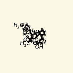 CCOC(=O)c1c(C)[nH]c(C=C2C(=O)Nc3cccc(-c4cncc(C(=O)O)c4)c32)c1CCCN1CCN(C)CC1